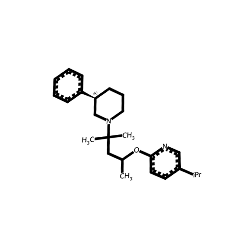 CC(CC(C)(C)N1CCC[C@H](c2ccccc2)C1)Oc1ccc(C(C)C)cn1